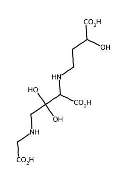 O=C(O)CNCC(O)(O)C(NCCC(O)C(=O)O)C(=O)O